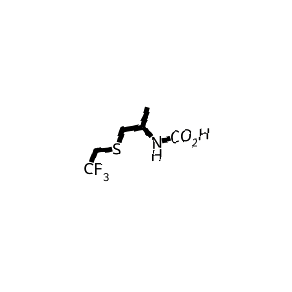 CC(CSCC(F)(F)F)NC(=O)O